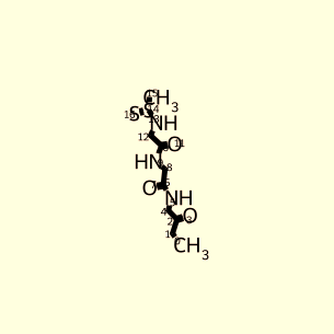 CCC(=O)CNC(=O)CNC(=O)CNS(C)=S